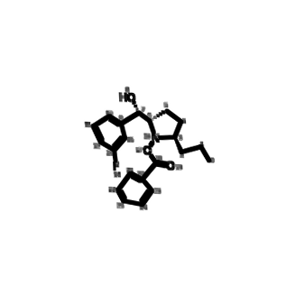 CCC[C@@H]1CC[C@@H]([C@@H](O)c2cccc(F)c2)N1OC(=O)c1ccccc1